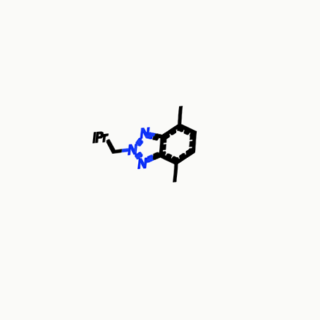 Cc1ccc(C)c2nn(CC(C)C)nc12